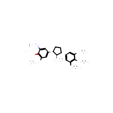 CCCOc1c(N)cc([C@H]2CC[C@H](c3cc(OC)c(OC)c(OC)c3)[C@H]2OC)cc1OC